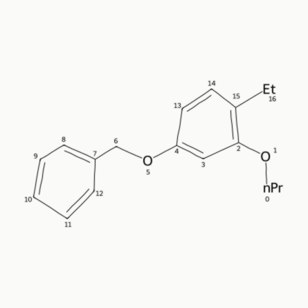 CCCOc1cc(OCc2ccccc2)ccc1CC